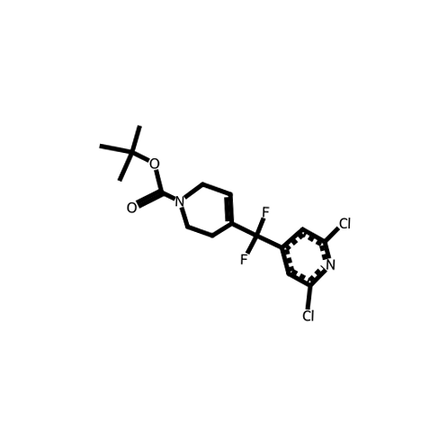 CC(C)(C)OC(=O)N1CC=C(C(F)(F)c2cc(Cl)nc(Cl)c2)CC1